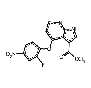 O=C(c1c[nH]c2nccc(Oc3ccc([N+](=O)[O-])cc3F)c12)C(Cl)(Cl)Cl